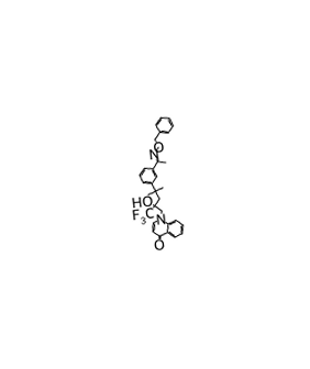 CC(=NOCc1ccccc1)c1cccc(C(C)(C)CC(O)(Cn2ccc(=O)c3ccccc32)C(F)(F)F)c1